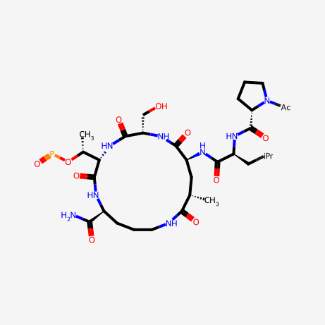 CC(=O)N1CCC[C@H]1C(=O)N[C@@H](CC(C)C)C(=O)N[C@H]1C[C@H](C)C(=O)NCCC[C@@H](C(N)=O)NC(=O)[C@H]([C@@H](C)OP=O)NC(=O)[C@H](CO)NC1=O